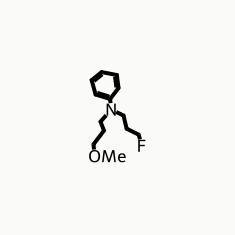 COCCCN(CCCF)c1ccccc1